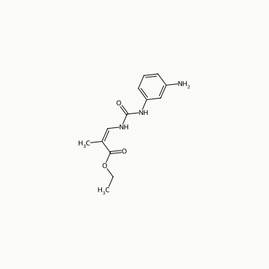 CCOC(=O)C(C)=CNC(=O)Nc1cccc(N)c1